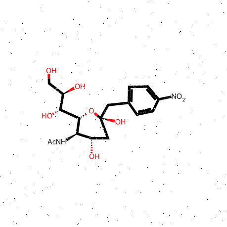 CC(=O)N[C@H]1[C@H]([C@H](O)[C@H](O)CO)O[C@](O)([CH]c2ccc([N+](=O)[O-])cc2)C[C@@H]1O